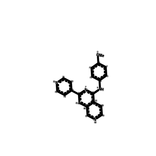 COc1ccc(Nc2nc(-c3ccncc3)nc3cnccc23)cc1